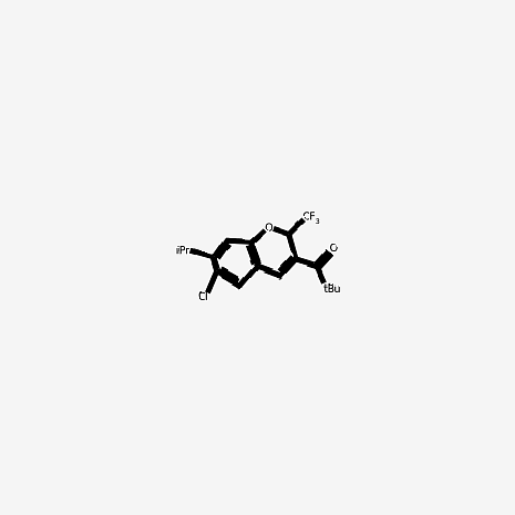 CC(C)c1cc2c(cc1Cl)C=C(C(=O)C(C)(C)C)C(C(F)(F)F)O2